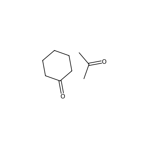 CC(C)=O.O=C1CCCCC1